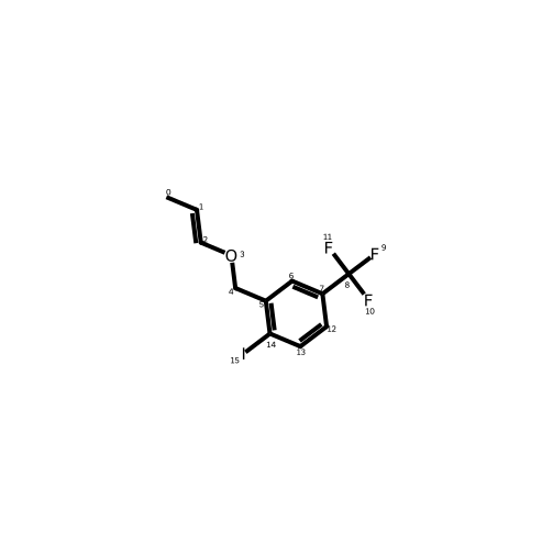 CC=COCc1cc(C(F)(F)F)ccc1I